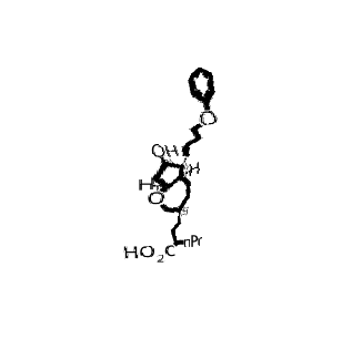 CCCC(CC[C@@H]1CC[C@@H]2[C@@H](C=CCCOc3ccccc3)[C@H](O)C[C@@H]2OC1)C(=O)O